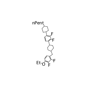 CCCCCC1CCC(c2ccc(C3CCC(Cc4ccc(OCC)c(F)c4F)CC3)c(F)c2F)CC1